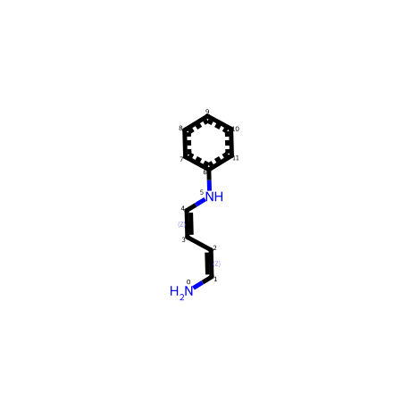 N/C=C\C=C/Nc1ccccc1